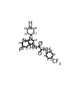 O=C(Nc1ccc(C(F)(F)F)cc1)C(=O)Nc1cn(C2CCNCC2)c2ncc(F)cc12